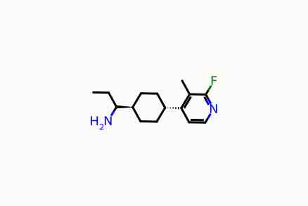 CCC(N)[C@H]1CC[C@H](c2ccnc(F)c2C)CC1